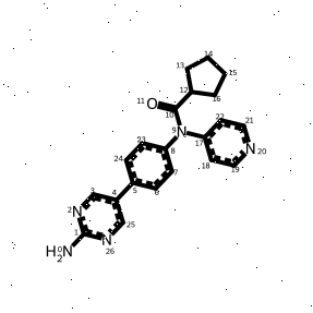 Nc1ncc(-c2ccc(N(C(=O)C3CCCC3)c3ccncc3)cc2)cn1